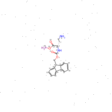 NCC[C@H](NC(=O)OCC1c2ccccc2-c2ccccc21)C(=O)OP